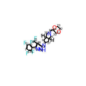 Fc1cc(F)c(F)c(-c2nnc(N[C@H]3C[C@@H]4CN(CC5COCCO5)C[C@@H]4C3)cc2C(F)F)c1